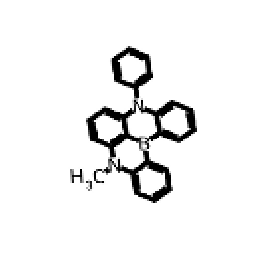 CN1c2ccccc2B2c3ccccc3N(c3ccccc3)c3cccc1c32